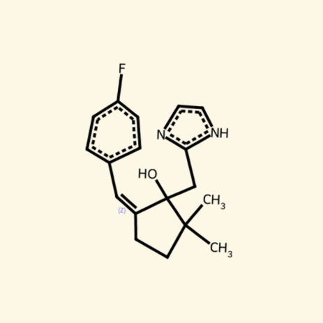 CC1(C)CC/C(=C/c2ccc(F)cc2)C1(O)Cc1ncc[nH]1